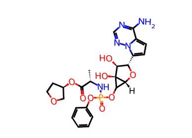 C[C@H](N[P@@](=O)(Oc1ccccc1)OC1[C@H]2O[C@@H](c3ccc4c(N)ncnn34)[C@H](O)[C@@]12O)C(=O)O[C@@H]1CCOC1